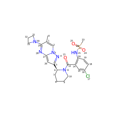 Cc1cn2nc([C@@H]3CCCCN3C(=O)c3cc(Cl)ccc3NS(C)(=O)=O)cc2nc1N1CCC1